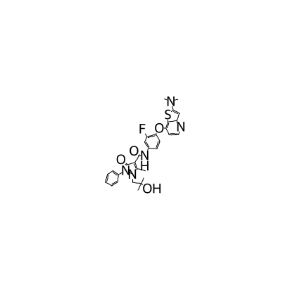 Cc1c(C(=O)Nc2ccc(Oc3ccnc4cc(N(C)C)sc34)c(F)c2)c(=O)n(-c2ccccc2)n1CC(C)(C)O